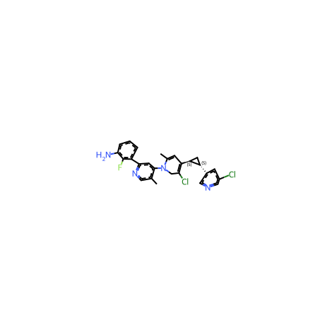 CC1=CC([C@H]2C[C@@H]2c2cncc(Cl)c2)=C(Cl)CN1c1cc(-c2cccc(N)c2F)ncc1C